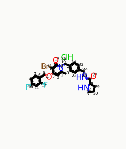 Cc1cc(OCc2ccc(F)cc2F)c(Br)c(=O)n1Cc1ccc(CNC(=O)C2CCCN2)cc1.Cl